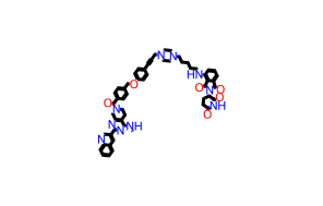 CNc1nc(-c2cnc3ccccc3c2)nc2c1CCN(C(=O)c1ccc(COc3ccc(C#CCN4CCN(CCCCCNc5cccc6c5C(=O)N(C5CCC(=O)NC5=O)C6=O)CC4)cc3)cc1)C2